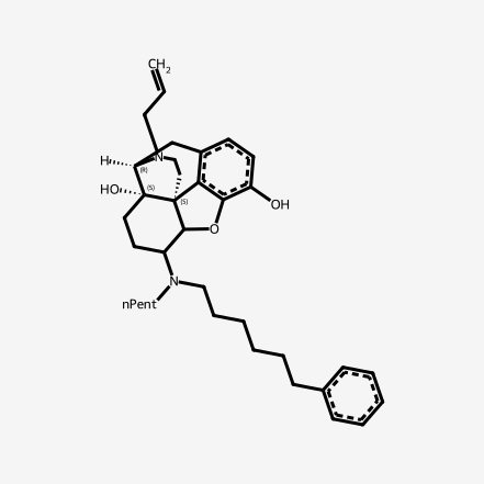 C=CCN1CC[C@]23c4c5ccc(O)c4OC2C(N(CCCCC)CCCCCCc2ccccc2)CC[C@@]3(O)[C@H]1C5